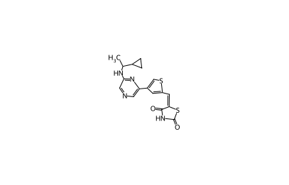 CC(Nc1cncc(-c2csc(C=C3SC(=O)NC3=O)c2)n1)C1CC1